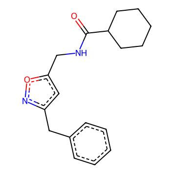 O=C(NCc1cc(Cc2ccccc2)no1)C1CCCCC1